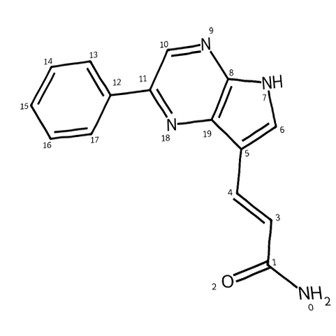 NC(=O)/C=C/c1c[nH]c2ncc(-c3ccccc3)nc12